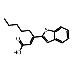 CCCCCC(=CC(=O)O)c1cc2ccccc2s1